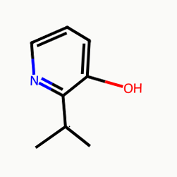 C[C](C)c1ncccc1O